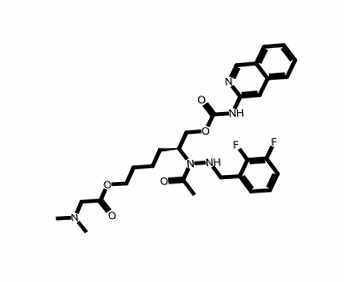 CC(=O)N(NCc1cccc(F)c1F)[C@@H](CCCCOC(=O)CN(C)C)COC(=O)Nc1cc2ccccc2cn1